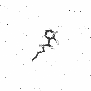 CCCCNC(=O)c1nccnc1[O]